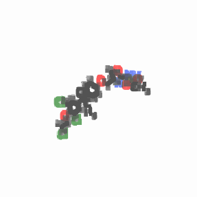 CC(C)(c1ccc(OCc2coc(NS(C)(=O)=O)n2)cc1)c1cc(Cl)c(OCCCl)c(Cl)c1